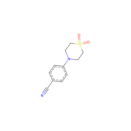 N#Cc1ccc(N2CCS(=O)(=O)CC2)cc1